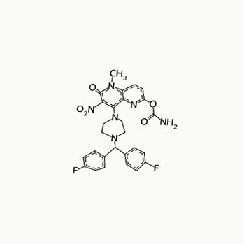 Cn1c(=O)c([N+](=O)[O-])c(N2CCN(C(c3ccc(F)cc3)c3ccc(F)cc3)CC2)c2nc(OC(N)=O)ccc21